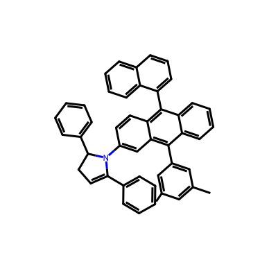 Cc1cc(C)cc(-c2c3ccccc3c(-c3cccc4ccccc34)c3ccc(N4C(c5ccccc5)=CCC4c4ccccc4)cc23)c1